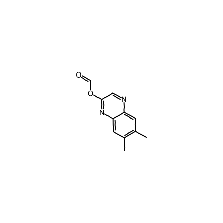 Cc1cc2ncc(OC=O)nc2cc1C